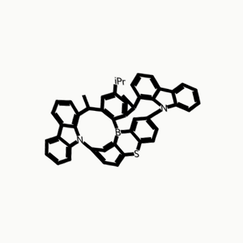 CC(C)c1cc2c3c(c1)C(C)c1cccc4c5ccccc5n(c14)-c1ccc4c(c1)B3c1cc(ccc1S4)-n1c3ccccc3c3cccc(c31)C2C